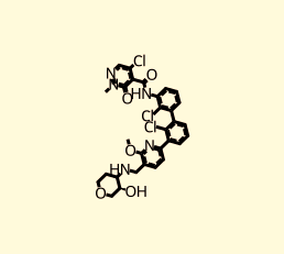 COc1nc(-c2cccc(-c3cccc(NC(=O)c4c(Cl)cnn(C)c4=O)c3Cl)c2Cl)ccc1CNC1CCOC[C@@H]1O